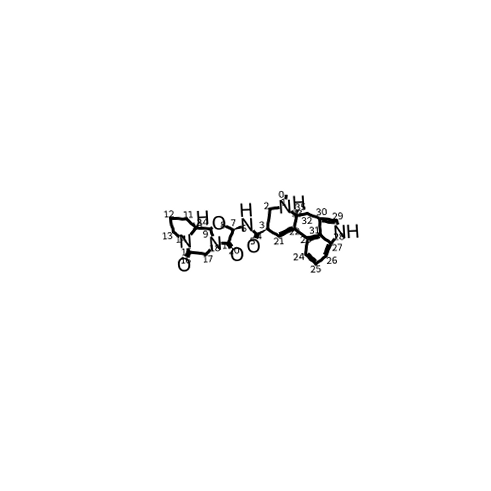 CN1C[C@H](C(=O)N[C@@H]2OC3[C@@H]4CCCN4C(=O)CN3C2=O)C=C2c3cccc4[nH]cc(c34)C[C@H]21